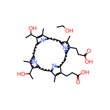 CC1=C(CCC(=O)O)c2cc3[nH]c(cc4nc(cc5[nH]c(cc1n2)c(C(C)O)c5C)C(C(C)O)=C4C)c(C)c3CCC(=O)O.CCO